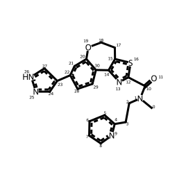 CN(CCc1ccccn1)C(=O)c1nc2c(s1)CCOc1cc(-c3cn[nH]c3)ccc1-2